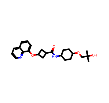 CC(C)(O)COC1CCC(NC(=O)C2CC(Oc3cccc4cccnc34)C2)CC1